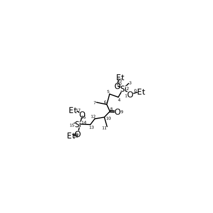 CCO[Si](C)(CCC(C)C(=O)C(C)CC[Si](C)(OCC)OCC)OCC